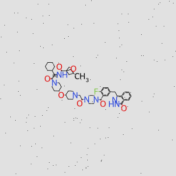 CC12CC(C(=O)N[C@@H](C(=O)N3CCC(OC4CCN(CC(=O)N5CCN(C(=O)c6cc(Cc7n[nH]c(=O)c8ccccc78)ccc6F)CC5)CC4)CC3)C3CCCCC3)(CO1)C2